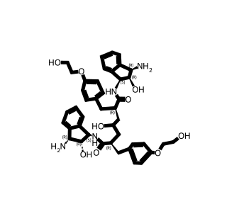 N[C@@H]1c2ccccc2[C@H](NC(=O)[C@H](Cc2ccc(OCCO)cc2)CC(O)C[C@@H](Cc2ccc(OCCO)cc2)C(=O)N[C@H]2c3ccccc3[C@@H](N)[C@H]2O)[C@@H]1O